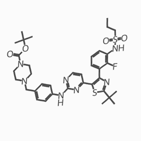 CCCS(=O)(=O)Nc1cccc(-c2nc(C(C)(C)C)sc2-c2ccnc(Nc3ccc(CN4CCN(C(=O)OC(C)(C)C)CC4)cc3)n2)c1F